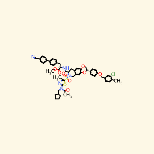 COC(=O)[C@H](Cc1ccc(-c2ccc(C#N)cc2)cc1)NC(=O)C1Cc2cc3c(cc2CN1S(=O)(=O)c1sc(N(CC2CCCC2)C(C)=O)nc1C)O[C@@H](c1ccc(OCc2ccc(C)c(Cl)c2)cc1)CO3